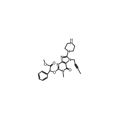 CC#CCn1c(N2CCNCC2)nc2nc(OC(C(=O)OC)c3ccccc3)n(C)c(=O)c21